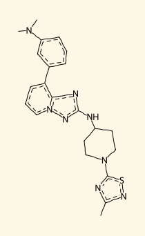 Cc1nsc(N2CCC(Nc3nc4c(-c5cccc(N(C)C)c5)cccn4n3)CC2)n1